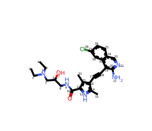 CCN(CC)CC(O)CNC(=O)c1[nH]c(C)c(C#Cc2c(N)ncc3ccc(Cl)cc23)c1C